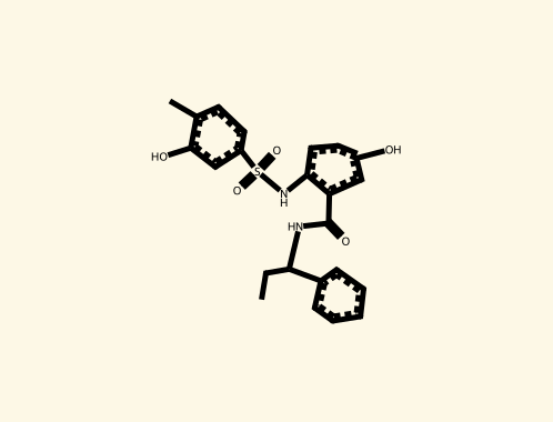 CCC(NC(=O)c1cc(O)ccc1NS(=O)(=O)c1ccc(C)c(O)c1)c1ccccc1